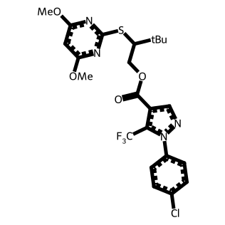 COc1cc(OC)nc(SC(COC(=O)c2cnn(-c3ccc(Cl)cc3)c2C(F)(F)F)C(C)(C)C)n1